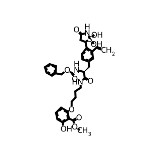 C=Cc1cc(C[C@H](NC(=O)OCc2ccccc2)C(=O)NCCCCOc2cccc(O)c2C(=O)OC)ccc1C1CC(=O)NS1(O)O